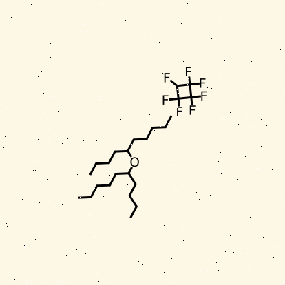 CCCCCC(CCCC)OC(CCCC)CCCCC.FC1C(F)(F)C(F)(F)C1(F)F